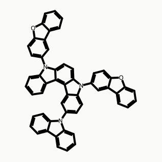 c1ccc2c(c1)oc1ccc(-n3c4ccccc4c4c5c6cc(-n7c8ccccc8c8ccccc87)ccc6n(-c6ccc7oc8ccccc8c7c6)c5ccc43)cc12